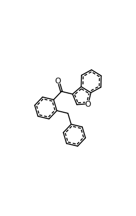 O=C(c1ccccc1Cc1ccccc1)c1coc2ccccc12